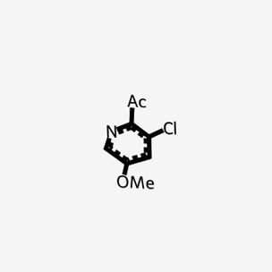 COc1cnc(C(C)=O)c(Cl)c1